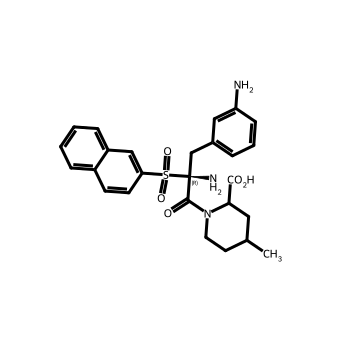 CC1CCN(C(=O)[C@@](N)(Cc2cccc(N)c2)S(=O)(=O)c2ccc3ccccc3c2)C(C(=O)O)C1